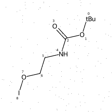 CC(C)(C)OC(=O)NCCOI